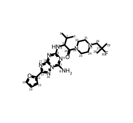 CC(C)C(Nc1nc(N)n2nc(-c3ccco3)nc2n1)C(=O)N1CCN(CC(C)(C)F)CC1